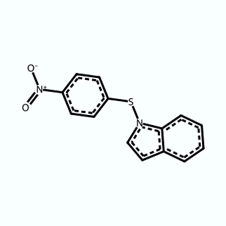 O=[N+]([O-])c1ccc(Sn2ccc3ccccc32)cc1